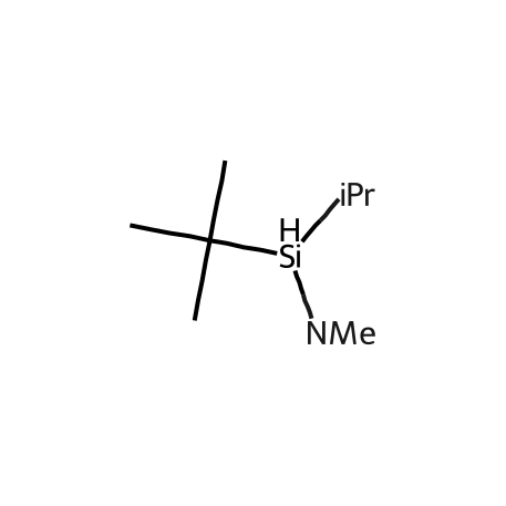 CN[SiH](C(C)C)C(C)(C)C